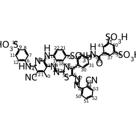 Cc1c(C#N)c(Nc2ccc(S(=O)(=O)O)cc2)nc(Nc2ccc(S(=O)(=O)O)cc2)c1N=Nc1nc(-c2ccc(NC(=O)c3cc(S(=O)(=O)O)cc(S(=O)(=O)O)c3)cc2)c(N=Nc2ccccc2C#N)s1